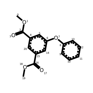 COC(=O)c1cc(Oc2ccccc2)cc(C(=O)OC)c1